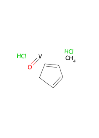 C.C1=CCC=C1.Cl.Cl.[O]=[V]